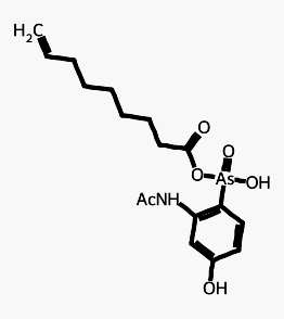 C=CCCCCCCC(=O)O[As](=O)(O)c1ccc(O)cc1NC(C)=O